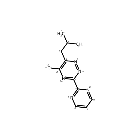 CC(C)Cc1nnc(-c2ncccn2)nc1O